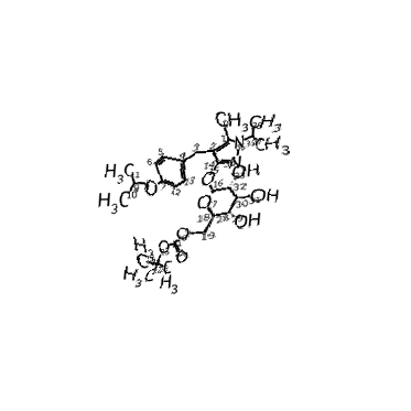 Cc1c(Cc2ccc(OC(C)C)cc2)c(O[C@@H]2O[C@H](COC(=O)OC(C)(C)C)[C@@H](O)[C@H](O)[C@H]2O)nn1C(C)C